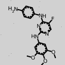 COc1cc(Nc2ncc(F)c(Nc3ccc(N)cc3)n2)cc(OC)c1OC